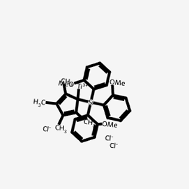 COc1ccccc1[Si](c1ccccc1OC)(c1ccccc1OC)[C]1([Ti+3])C(C)=C(C)C(C)=C1C.[Cl-].[Cl-].[Cl-]